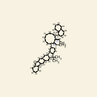 C/C=c1/c(-c2ccc3c(c2)-c2cc4cc5oc6ccccc6c5cc4cc2C3(C)C)ccccccc(-c2cccc3ccccc23)/c1=C/C